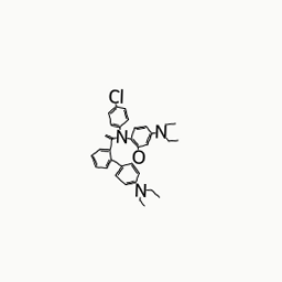 C=C1c2ccccc2-c2ccc(N(CC)CC)cc2Oc2cc(N(CC)CC)ccc2N1c1ccc(Cl)cc1